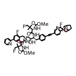 COC(=O)N[C@H](C(=O)N[C@@H](Cc1ccc(C#Cc2ccc(N3CC4CCC(C3)N4CC(F)F)nc2)cc1)[C@@H](O)CN(Cc1c(F)cc(-c2ccccn2)cc1Cl)NC(=O)[C@@H](NC(=O)OC)C(C)(C)CF)C(C)(C)CF